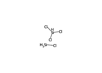 Cl[SiH](Cl)Cl.[SiH3]Cl